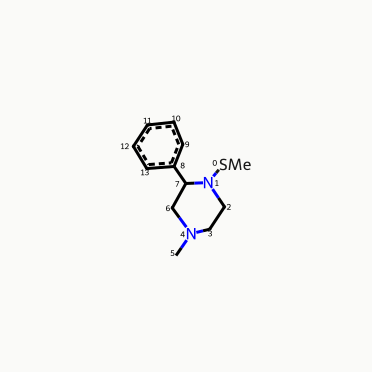 CSN1CCN(C)CC1c1ccccc1